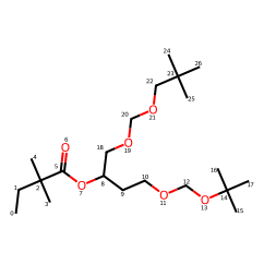 CCC(C)(C)C(=O)OC(CCOCOC(C)(C)C)COCOCC(C)(C)C